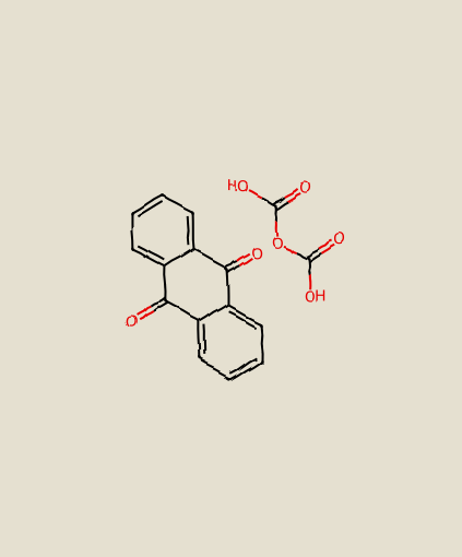 O=C(O)OC(=O)O.O=C1c2ccccc2C(=O)c2ccccc21